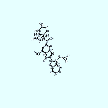 COc1cc(C(=O)N2C[C@H]3CC4CC(=O)N[C@H]3[C@@H]42)cc2nc(-c3cc4cccnc4n3CC3CC3)n(C)c12